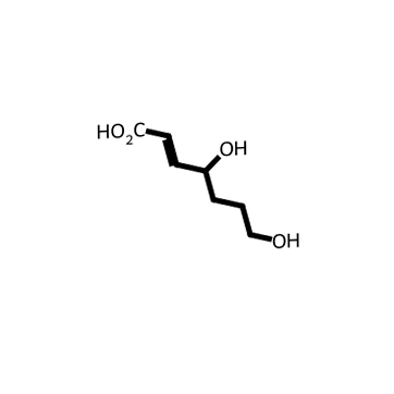 O=C(O)C=CC(O)CCCO